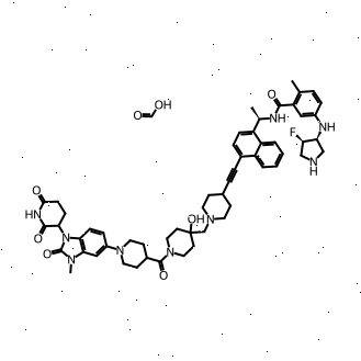 Cc1ccc(N[C@H]2CNC[C@H]2F)cc1C(=O)N[C@H](C)c1ccc(C#CC2CCN(CC3(O)CCN(C(=O)C4CCN(c5ccc6c(c5)n(C)c(=O)n6C5CCC(=O)NC5=O)CC4)CC3)CC2)c2ccccc12.O=CO